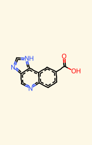 O=C(O)c1ccc2ncc3nc[nH]c3c2c1